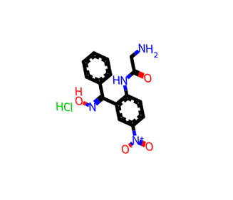 Cl.NCC(=O)Nc1ccc([N+](=O)[O-])cc1C(=NO)c1ccccc1